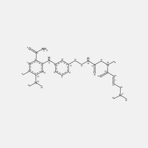 Cc1nc(C(N)=O)c(Nc2cccc(CCNC(=O)CN(C)C(=O)/C=C/CN(C)C)c2)nc1N(C)C